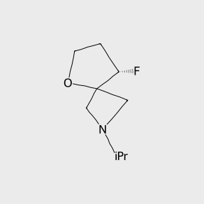 CC(C)N1CC2(C1)OCC[C@@H]2F